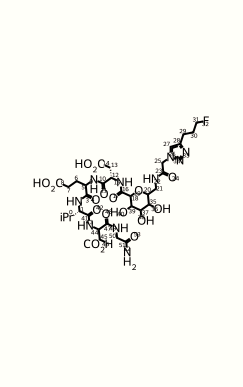 CC(C)[C@H](NC(=O)C(CCC(=O)O)NC(=O)[C@H](CC(=O)O)NC(=O)C1OC(CNC(=O)Cn2cc(CCCF)nn2)C(O)C(O)C1O)C(=O)NC(CC(=O)O)C(=O)NCC(N)=O